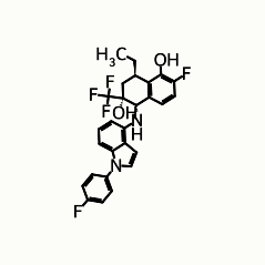 CC[C@@H]1C[C@](O)(C(F)(F)F)[C@@H](Nc2cccc3c2ccn3-c2ccc(F)cc2)c2ccc(F)c(O)c21